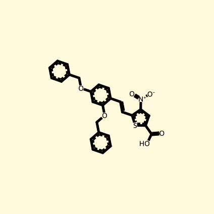 O=C(O)c1cc([N+](=O)[O-])c(C=Cc2ccc(OCc3ccccc3)cc2OCc2ccccc2)s1